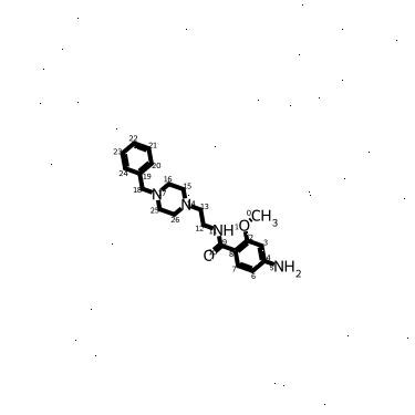 COc1cc(N)ccc1C(=O)NCCN1CCN(Cc2ccccc2)CC1